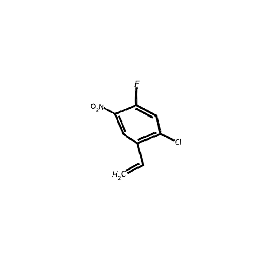 C=Cc1cc([N+](=O)[O-])c(F)cc1Cl